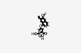 C=Cc1cc2c(O[C@@H]3C[C@@H](C(=O)O)N(C(=O)O)C3)nccc2cc1OC